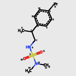 CC(C)c1ccc(C(C)CNS(=O)(=O)N(C)C)cc1